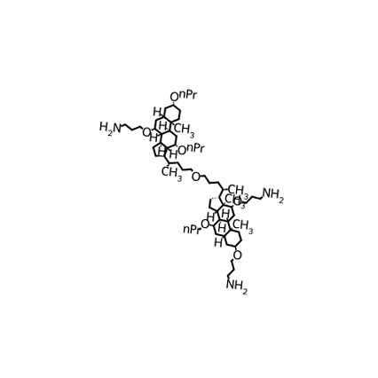 CCCO[C@@H]1CC[C@@]2(C)[C@@H](C1)C[C@H](OCCCN)[C@H]1[C@@H]3CC[C@H]([C@H](C)CCCOCCC[C@@H](C)[C@H]4CC[C@H]5[C@@H]6[C@H](OCCC)C[C@@H]7C[C@H](OCCCN)CC[C@]7(C)[C@H]6C[C@H](OCCCN)[C@]45C)[C@H]3[C@@H](OCCC)C[C@@H]12